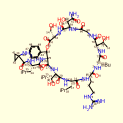 CC[C@H](C)[C@@H]1NC(=O)[C@@H](CCCNC(=N)N)NC(=O)[C@H](CC(C)C)NC(=O)[C@H]([C@H](O)C(C)C)NC(=O)[C@@H](NC(=O)[C@H](CC(C)C)NC(=O)C2(N)CC2)[C@@H](c2ccccc2)OC(=O)[C@H](CO)NC(=O)[C@H]([C@H](O)C(N)=O)NC(=O)CNC(=O)[C@H]([C@H](C)O)NC1=O